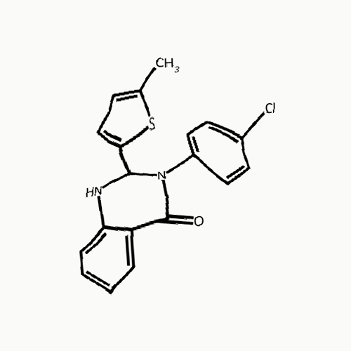 Cc1ccc(C2Nc3ccccc3C(=O)N2c2ccc(Cl)cc2)s1